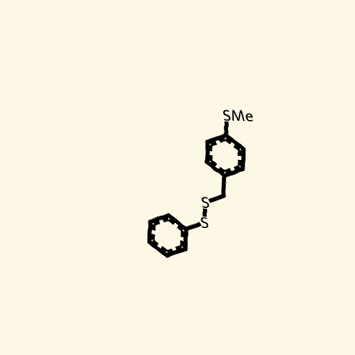 CSc1ccc(CSSc2ccccc2)cc1